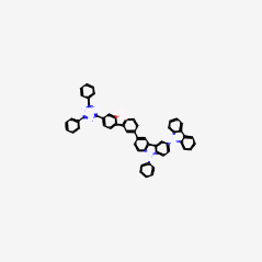 c1ccc(-c2nc(-c3ccccc3)nc(-c3ccc4c(c3)oc3ccc(-c5ccc6c(c5)c5cc(-n7c8ccccc8c8ccccc87)ccc5n6-c5ccccc5)cc34)n2)cc1